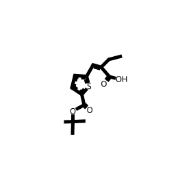 CCC(=Cc1ccc(C(=O)OC(C)(C)C)s1)C(=O)O